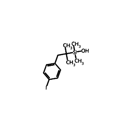 CC(C)(Cc1ccc(I)cc1)[Si](C)(C)O